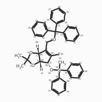 CC1(C)O[C@@H]2[C@H](O1)C(COC(c1ccccc1)(c1ccccc1)c1ccccc1)=C(F)[C@@H]2O[Si](C)(c1ccccc1)c1ccccc1